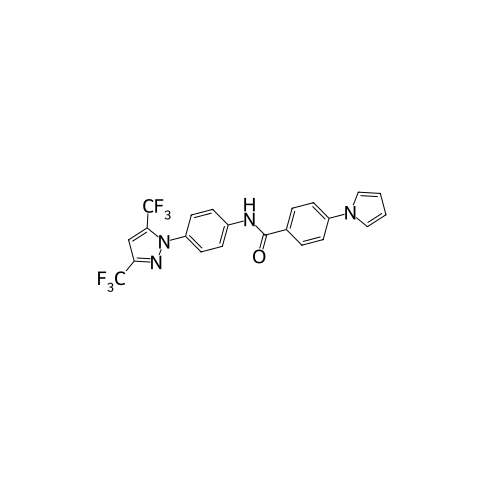 O=C(Nc1ccc(-n2nc(C(F)(F)F)cc2C(F)(F)F)cc1)c1ccc(-n2cccc2)cc1